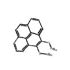 CCCCSc1c(SCCCC)c2cccc3ccc4cccc1c4c32